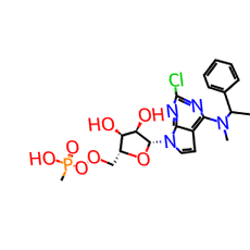 CC(c1ccccc1)N(C)c1nc(Cl)nc2c1ccn2[C@@H]1O[C@H](COOP(C)(=O)O)[C@@H](O)[C@H]1O